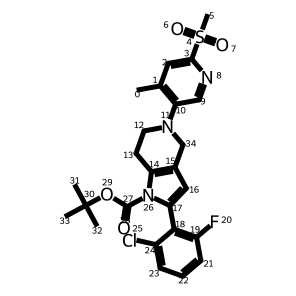 Cc1cc(S(C)(=O)=O)ncc1N1CCc2c(cc(-c3c(F)cccc3Cl)n2C(=O)OC(C)(C)C)C1